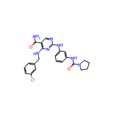 NC(=O)c1cnc(Nc2cccc(NC(=O)N3CCCC3)c2)nc1NCc1cccc(Cl)c1